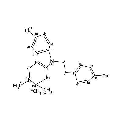 CN1Cc2c(n(CCc3ccc(F)cc3)c3ccc(Cl)cc23)CC1(C)C